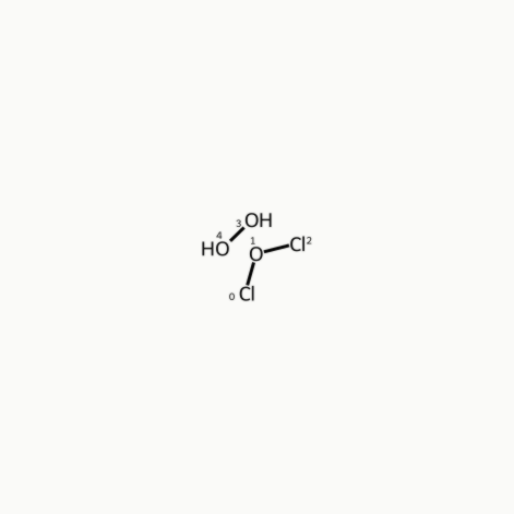 ClOCl.OO